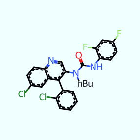 CCCCN(C(=O)Nc1ccc(F)cc1F)c1cnc2ccc(Cl)cc2c1-c1ccccc1Cl